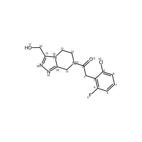 O=C(Cc1c(F)cccc1Cl)N1CCn2c(CO)nnc2C1